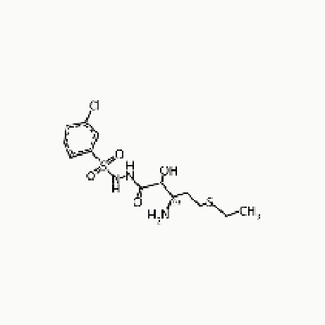 CCSCC[C@@H](N)C(O)C(=O)NNS(=O)(=O)c1cccc(Cl)c1